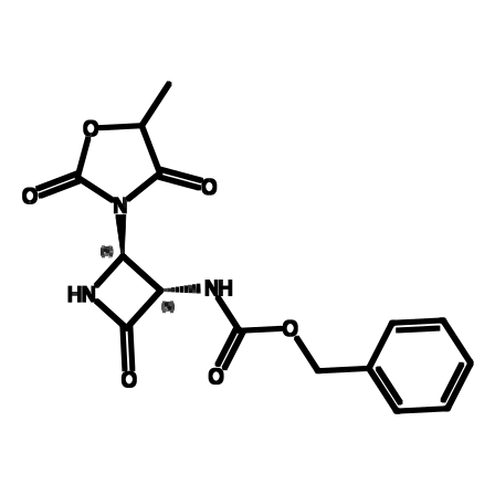 CC1OC(=O)N([C@@H]2NC(=O)[C@H]2NC(=O)OCc2ccccc2)C1=O